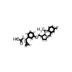 COc1ccc(F)cc1CN1CCC(COc2cccc([C@@H](CC(=O)O)C3CC3)c2)C1